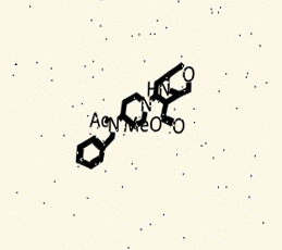 COC(=O)C1C2COCC(CC1N1CCC(N(Cc3ccccc3)C(C)=O)CC1)N2